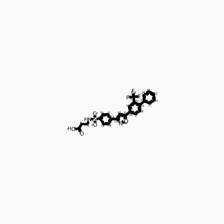 O=C(O)CCNS(=O)(=O)c1ccc(-c2cc(-c3ccc(-c4ccccc4)c(C(F)(F)F)c3)on2)cc1